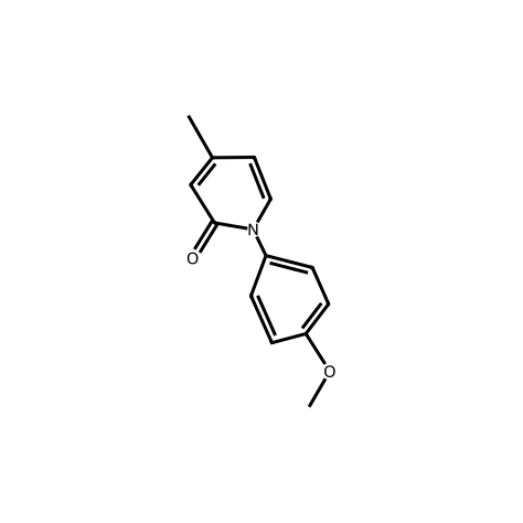 COc1ccc(-n2ccc(C)cc2=O)cc1